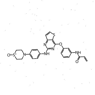 C=CC(=O)Nc1cccc(Oc2nc(Nc3ccc(N4CC[S+]([O-])CC4)cc3)nc3ccsc23)c1